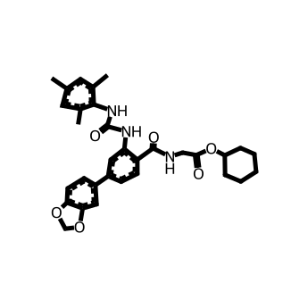 Cc1cc(C)c(NC(=O)Nc2cc(-c3ccc4c(c3)OCO4)ccc2C(=O)NCC(=O)OC2CCCCC2)c(C)c1